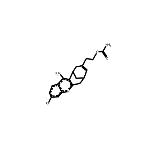 NC(=O)OCCC1=CC2Cc3nc4cc(Cl)ccc4c(N)c3C(C1)C2